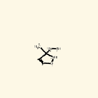 CC1(NS)C=CON1